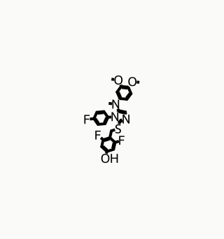 COc1ccc(N(C)c2cnc(SCc3c(F)cc(O)cc3F)n2-c2ccc(F)cc2)cc1OC